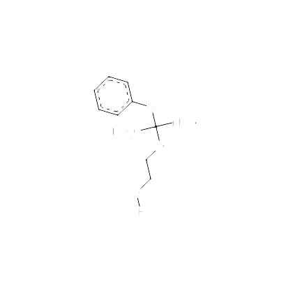 CCCCCCC(OCCOCC)(Oc1ccccc1)C(=O)O